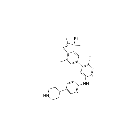 CCC1(C)C(C)=Nc2c(C)cc(-c3nc(Nc4ccc(C5CCNCC5)cn4)ncc3F)cc21